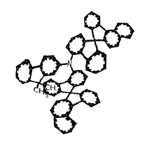 CC1(C)c2ccccc2-c2ccc(N(c3cccc4c3-c3ccccc3C43c4ccccc4-c4c3ccc3ccccc43)c3cccc4c3-c3ccccc3C43c4ccccc4-c4c3ccc3ccccc43)cc21